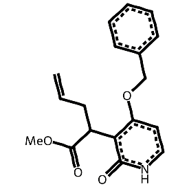 C=CCC(C(=O)OC)c1c(OCc2ccccc2)cc[nH]c1=O